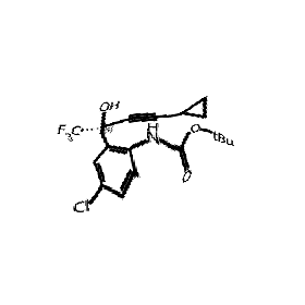 CC(C)(C)OC(=O)Nc1ccc(Cl)cc1[C@@](O)(C#CC1CC1)C(F)(F)F